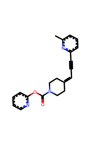 Cc1cccc(C#CC=C2CCN(C(=O)Oc3ccccn3)CC2)n1